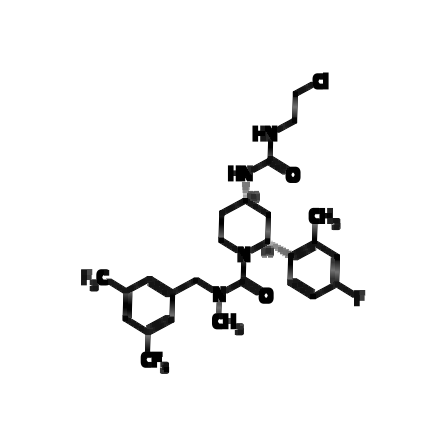 Cc1cc(F)ccc1[C@H]1C[C@@H](NC(=O)NCCCl)CCN1C(=O)N(C)Cc1cc(C(F)(F)F)cc(C(F)(F)F)c1